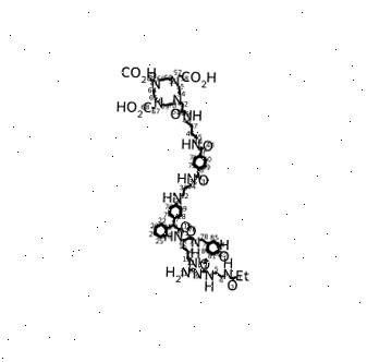 CCC(=O)NCCNC(=O)/N=C(/N)NCCC[C@@H](NC(=O)C(c1ccccc1)c1ccc(NCCCNC(=O)c2ccc(C(=O)NCCCCNC(=O)CN3CCN(CC(=O)O)CCN(CC(=O)O)CCN(CC(=O)O)CC3)cc2)cc1)C(=O)NCc1ccc(O)cc1